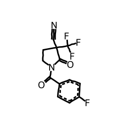 N#CC1(C(F)(F)F)CCN(C(=O)c2ccc(F)cc2)C1=O